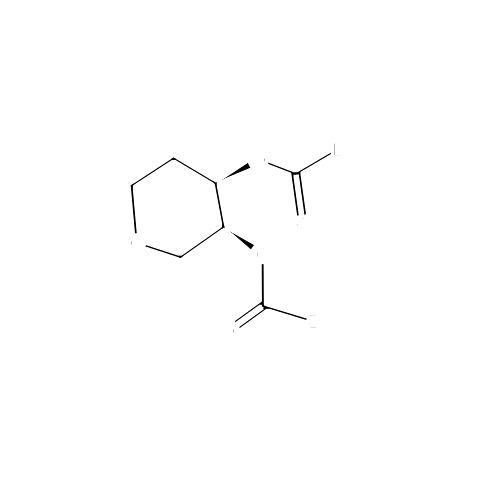 CCC(=O)O[C@H]1COCC[C@H]1OC(=O)CC